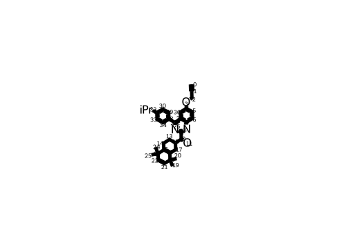 C#CCOc1ccc2nc(C(=O)C3CCC4=C(C3)C(C)(C)C=CC4(C)C)nc(-c3ccc(C(C)C)cc3)c2c1